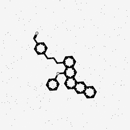 O=Cc1ccc(CCCc2cccc3cc4c(ccc5cc6ccccc6cc54)c(Oc4ccccc4)c23)cc1